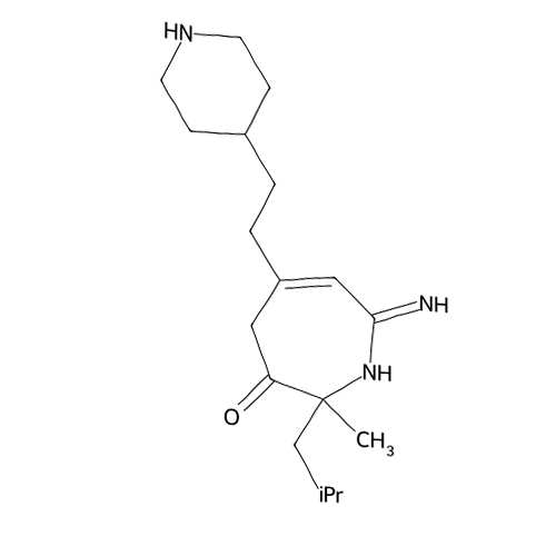 CC(C)CC1(C)NC(=N)C=C(CCC2CCNCC2)CC1=O